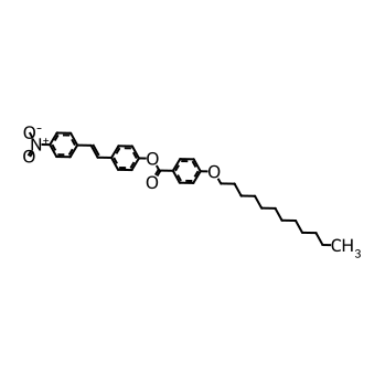 CCCCCCCCCCCCOc1ccc(C(=O)Oc2ccc(/C=C/c3ccc([N+](=O)[O-])cc3)cc2)cc1